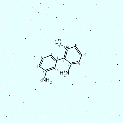 Nc1cccc(-c2c(N)cccc2C(F)(F)F)c1